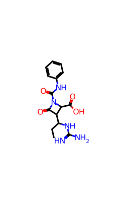 CCC(NC(=N)N)C1C(=O)N(C(=O)Nc2ccccc2)C1C(=O)O